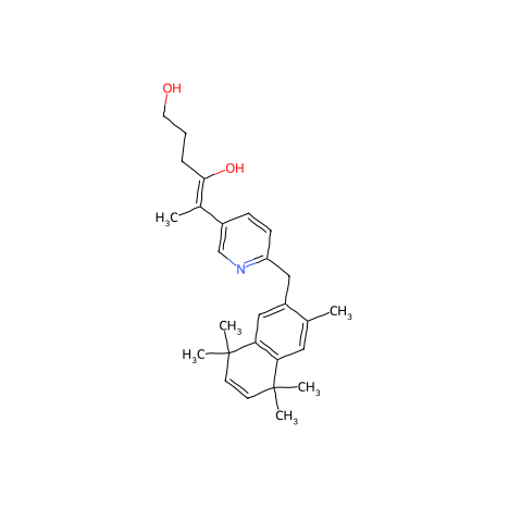 C/C(=C(/O)CCCO)c1ccc(Cc2cc3c(cc2C)C(C)(C)C=CC3(C)C)nc1